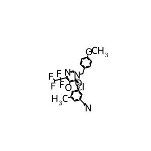 COc1ccc(Cn2cnc(C(F)(F)C(F)F)c(Oc3c(C)cc(C#N)cc3Cl)c2=O)cc1